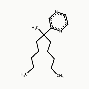 CCCCCC(C)(CCCCC)c1cnccn1